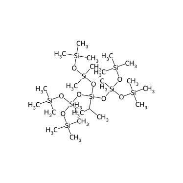 CC(C)[Si](O[Si](C)(C)O[Si](C)(C)C)(O[Si](C)(O[Si](C)(C)C)O[Si](C)(C)C)O[Si](C)(O[Si](C)(C)C)O[Si](C)(C)C